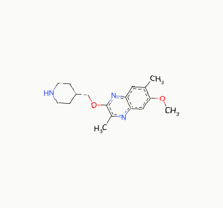 COc1cc2nc(C)c(OCC3CCNCC3)nc2cc1C